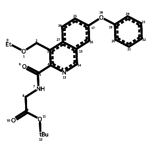 CCOCc1c(C(=O)NCC(=O)OC(C)(C)C)ncc2cc(Oc3ccccc3)ccc12